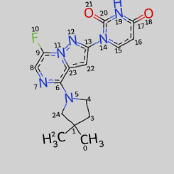 CC1(C)CCN(c2ncc(F)n3nc(-n4ccc(=O)[nH]c4=O)cc23)C1